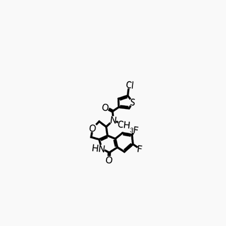 CN(C(=O)c1csc(Cl)c1)C1COCc2[nH]c(=O)c3cc(F)c(F)cc3c21